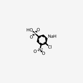 O=[N+]([O-])c1cc(S(=O)(=O)O)ccc1Cl.[NaH]